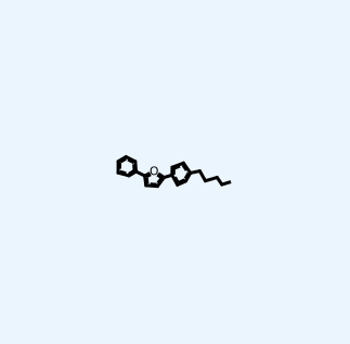 CCCCCc1ccc(-c2ccc(-c3ccccc3)o2)cc1